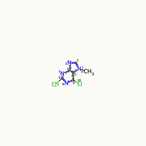 Cn1cnc2nc(Cl)nc(Cl)c21